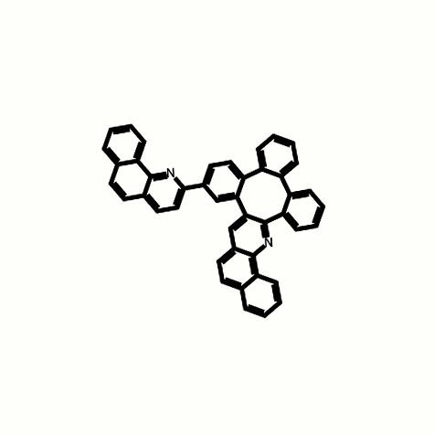 c1ccc2c(c1)-c1ccc(-c3ccc4ccc5ccccc5c4n3)cc1-c1cc3ccc4ccccc4c3nc1-c1ccccc1-2